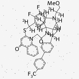 [2H]C([2H])(Sc1cc(=O)c2ccccc2n1CC(=O)N(C([2H])(C)c1ccc(-c2ccc(C(F)(F)F)cc2)cc1)C1([2H])C([2H])([2H])C([2H])([2H])N(C([2H])([2H])COC)C([2H])([2H])C1([2H])[2H])c1cccc(F)c1F